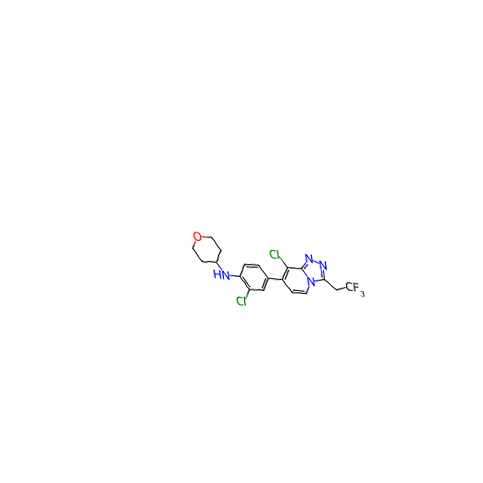 FC(F)(F)Cc1nnc2c(Cl)c(-c3ccc(NC4CCOCC4)c(Cl)c3)ccn12